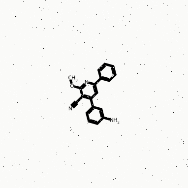 COc1nc(-c2ccccc2)cc(-c2cccc(N)c2)c1C#N